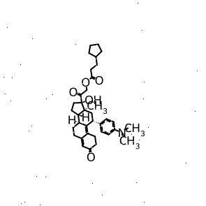 CN(C)c1ccc([C@H]2C[C@@]3(C)[C@@H](CC[C@]3(O)C(=O)COC(=O)CCC3CCCC3)[C@@H]3CCC4=CC(=O)CCC4=C32)cc1